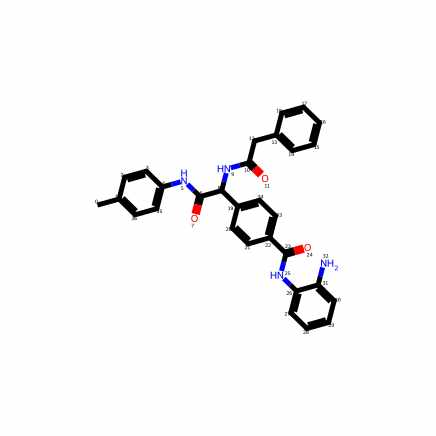 Cc1ccc(NC(=O)C(NC(=O)Cc2ccccc2)c2ccc(C(=O)Nc3ccccc3N)cc2)cc1